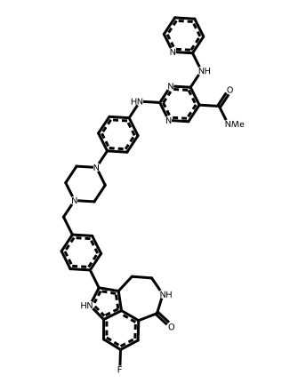 CNC(=O)c1cnc(Nc2ccc(N3CCN(Cc4ccc(-c5[nH]c6cc(F)cc7c6c5CCNC7=O)cc4)CC3)cc2)nc1Nc1ccccn1